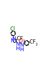 O=C(Nc1ccc(C(F)(F)F)cc1)Nc1cnn(-c2ccc(Cl)cc2)c1C(F)(F)F